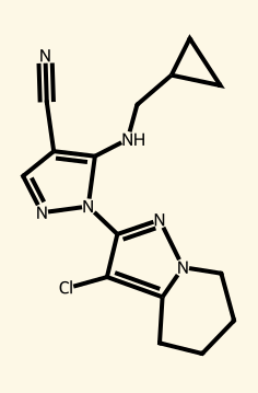 N#Cc1cnn(-c2nn3c(c2Cl)CCCC3)c1NCC1CC1